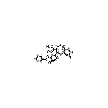 CN1C(=O)c2c(OCc3ccccc3)c(=O)ccn2N2Cc3cc(F)c(F)cc3OCCC12